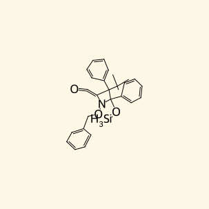 CC(C)(C)C1(c2ccccc2)C(=C=O)N(OCc2ccccc2)C1(O[SiH3])c1ccccc1